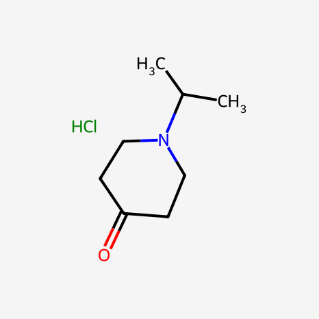 CC(C)N1CCC(=O)CC1.Cl